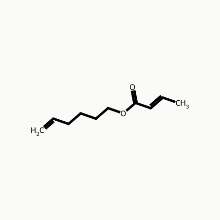 C=CCCCCOC(=O)C=CC